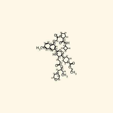 CCOC(=O)N1CCN(C(=O)C(CCC(=O)OC(CC)CN2CCOCC2)NC(=O)c2cc(OCC(=O)N3CCCC3C(=O)NC3CCC3)c3ccc(C)cc3n2)CC1